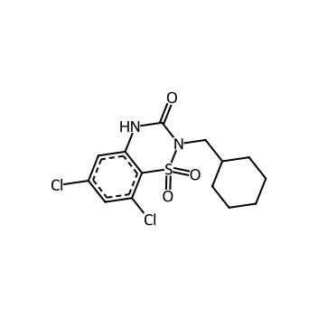 O=C1Nc2cc(Cl)cc(Cl)c2S(=O)(=O)N1CC1CCCCC1